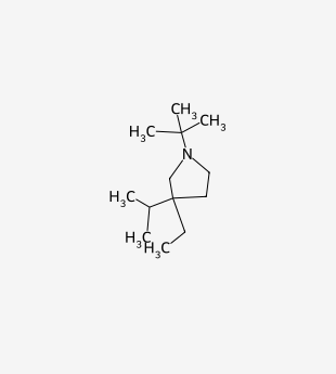 CCC1(C(C)C)CCN(C(C)(C)C)C1